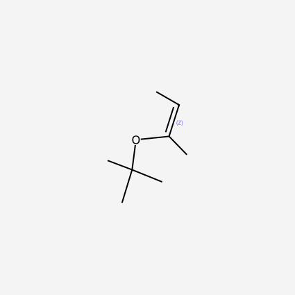 C/C=C(/C)OC(C)(C)C